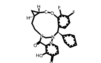 O=C1c2c(O)c(=O)ccn2N2CN1CC[C@H]1C[C@@H]1COc1c(ccc(F)c1F)[C@H]2c1ccccc1